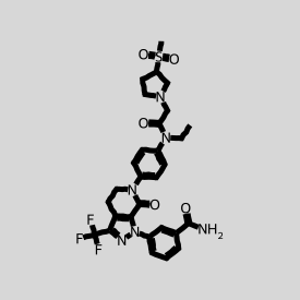 CCN(C(=O)CN1CCC(S(C)(=O)=O)C1)c1ccc(N2CCc3c(C(F)(F)F)nn(-c4cccc(C(N)=O)c4)c3C2=O)cc1